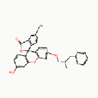 CC(COc1ccc2c(c1)Oc1cc(O)ccc1C21OC(=O)c2cc(C(C)C)ccc21)Cc1ccccc1